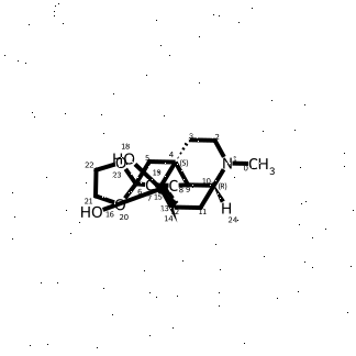 CN1CC[C@]23CC4(CCC2[C@H]1Cc1ccc(O)c(O)c13)OCCO4